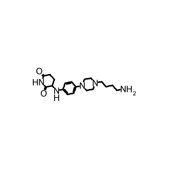 NCCCCN1CCN(c2ccc(NC3CCC(=O)NC3=O)cc2)CC1